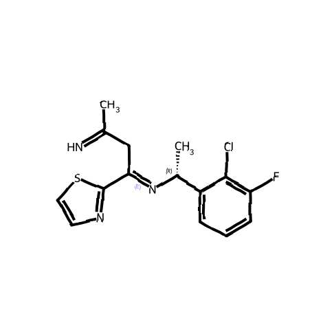 CC(=N)C/C(=N\[C@H](C)c1cccc(F)c1Cl)c1nccs1